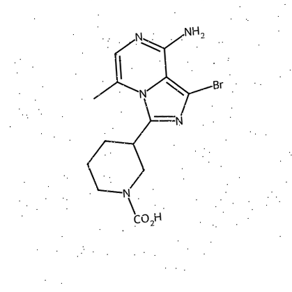 Cc1cnc(N)c2c(Br)nc(C3CCCN(C(=O)O)C3)n12